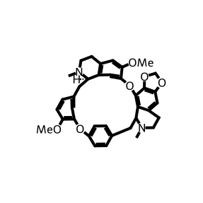 COc1ccc2cc1Oc1ccc(cc1)CC1c3c(cc4c(c3Oc3cc5c(cc3OC)CCN(C)[C@@H]5C2)OCO4)CCN1C